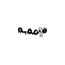 O=C(Nc1cccnn1)N1CCC(=Cc2cccc(OCCc3ccccn3)c2)CC1